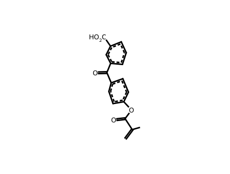 C=C(C)C(=O)Oc1ccc(C(=O)c2cccc(C(=O)O)c2)cc1